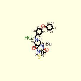 CCCCN1C(=O)[C@@H]2CSCN2C(=O)C12CCN(Cc1ccc(Oc3ccccc3)cc1)CC2.Cl